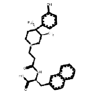 C[C@H]1CN(CCC(=O)N[C@@H](Cc2ccc3ccccc3c2)C(=O)O)CC[C@@]1(C)c1cccc(O)c1